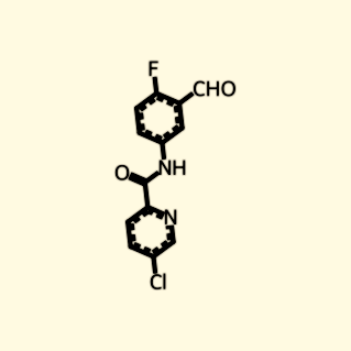 O=Cc1cc(NC(=O)c2ccc(Cl)cn2)ccc1F